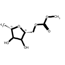 COC(=O)OC[C@H]1O[C@@H](C)C(O)C1O